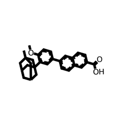 COc1ccc(-c2ccc3cc(C(=O)O)ccc3c2)cc1C12CC3CC(CC(C)(C3)C1)C2